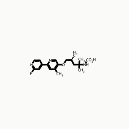 Cc1cc(-c2ccnc(F)c2)ncc1OC[C@@H](C)CC(C)(C)NC(=O)O